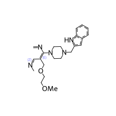 C=N/C(=C(\C=N/C)COCCOC)N1CCN(Cc2cc3ccccc3[nH]2)CC1